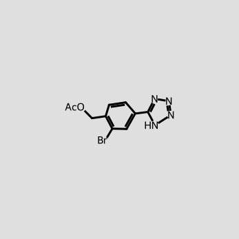 CC(=O)OCc1ccc(-c2nnn[nH]2)cc1Br